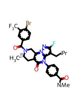 CNC(=O)c1ccc(-n2c(=O)c3c(n4nc(F)c(CC(C)C)c24)CN(C(=O)c2ccc(Br)c(C(F)(F)F)c2)[C@@H](C)C3)cc1